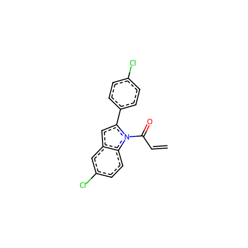 C=CC(=O)n1c(-c2ccc(Cl)cc2)cc2cc(Cl)ccc21